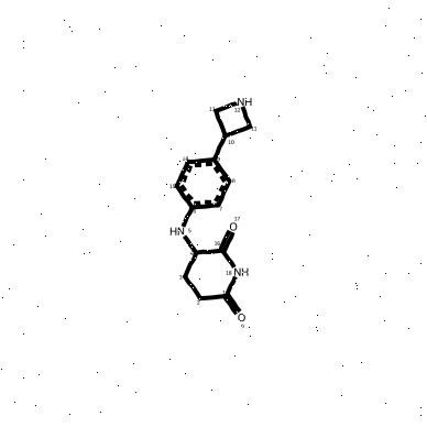 O=C1CCC(Nc2ccc(C3CNC3)cc2)C(=O)N1